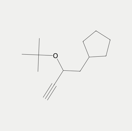 C#CC(CC1CCCC1)OC(C)(C)C